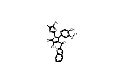 CCOc1cc(C2C(C(=O)c3cc4ccccc4o3)=C(O)C(=O)N2c2nc(C)c(C(C)=O)s2)ccc1O